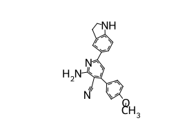 COc1ccc(-c2cc(-c3ccc4c(c3)CCN4)nc(N)c2C#N)cc1